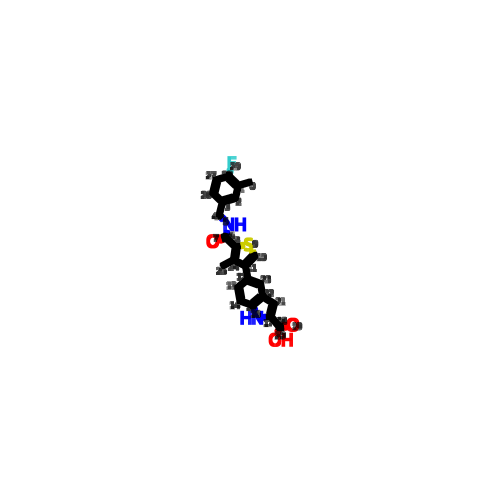 Cc1cc(CNC(=O)c2scc(-c3ccc4[nH]c(C(=O)O)cc4c3)c2C)ccc1F